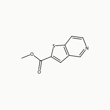 COC(=O)c1cc2cnccc2s1